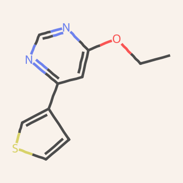 CCOc1cc(-c2ccsc2)ncn1